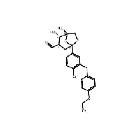 CCOc1ccc(Cc2cc([C@]34C[C@@H](C=O)[C@H](O)[C@](C)(CO3)O4)ccc2Cl)cc1